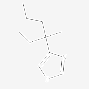 CCCC(C)(CC)c1cscn1